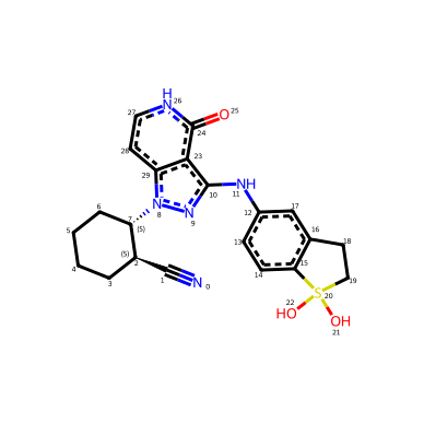 N#C[C@H]1CCCC[C@@H]1n1nc(Nc2ccc3c(c2)CCS3(O)O)c2c(=O)[nH]ccc21